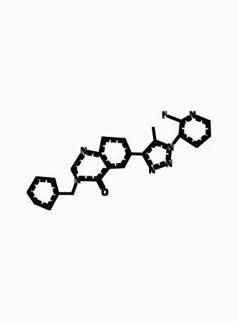 Cc1c(-c2ccc3ncn(Cc4ccccc4)c(=O)c3c2)nnn1-c1cccnc1F